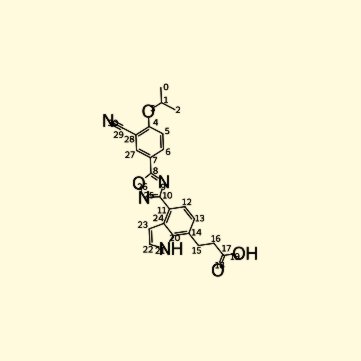 CC(C)Oc1ccc(-c2nc(-c3ccc(CCC(=O)O)c4[nH]ccc34)no2)cc1C#N